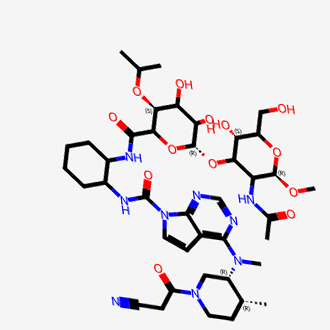 CO[C@@H]1OC(CO)[C@@H](O)C(O[C@@H]2OC(C(=O)NC3CCCCC3NC(=O)n3ccc4c(N(C)[C@H]5CN(C(=O)CC#N)CC[C@H]5C)ncnc43)[C@@H](OC(C)C)C(O)C2O)C1NC(C)=O